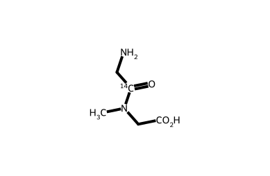 CN(CC(=O)O)[14C](=O)CN